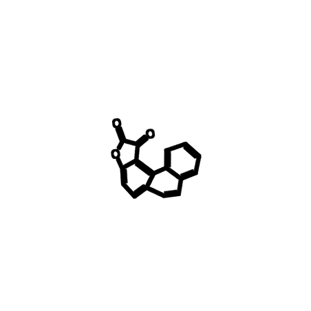 O=C1Oc2ccc3ccc4ccccc4c3c2C1=O